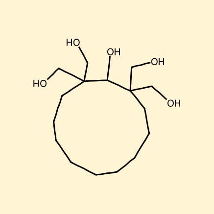 OCC1(CO)CCCCCCCCCC(CO)(CO)C1O